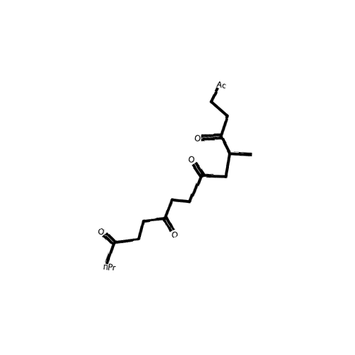 CCCC(=O)CCC(=O)CCC(=O)CC(C)C(=O)CCC(C)=O